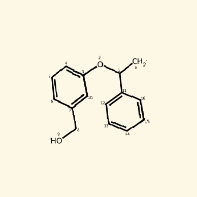 [CH2]C(Oc1cccc(CO)c1)c1ccccc1